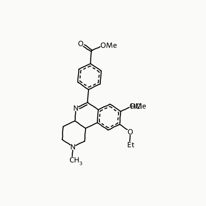 CCOc1cc2c(cc1OC)C(c1ccc(C(=O)OC)cc1)=NC1CCN(C)CC21.Cl